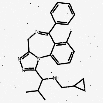 Cc1cccc2c1C(c1ccccc1)=NCc1nnc(C(NCC3CC3)C(C)C)n1-2